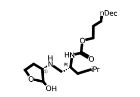 CCCCCCCCCCCCCOC(=O)N[C@@H](CN[C@H]1CCOC1O)CC(C)C